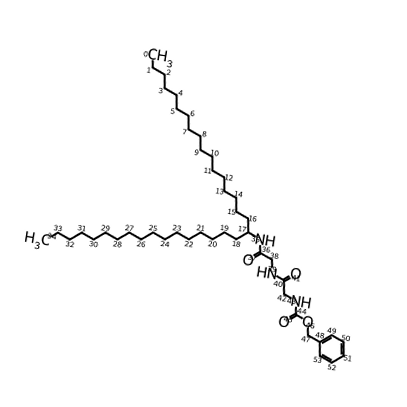 CCCCCCCCCCCCCCCCCC(CCCCCCCCCCCCCCCCC)NC(=O)CNC(=O)CNC(=O)OCc1ccccc1